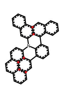 c1ccc(-c2cccc(-c3cccc4ccccc34)c2N(c2ccc3ccccc3c2)c2ccc3ccc4ccccc4c3c2)cc1